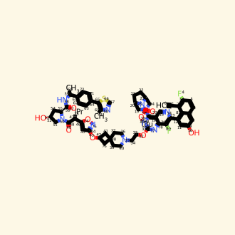 C#Cc1c(F)ccc2cc(O)cc(-c3ncc4c(N5CC6CCC(C5)N6C(=O)OC(C)(C)C)nc(OCCN5CCC6(CC5)CC(Oc5cc(C(C(=O)N7C[C@H](O)C[C@H]7C(=O)NC(C)c7ccc(-c8scnc8C)cc7)C(C)C)on5)C6)nc4c3F)c12